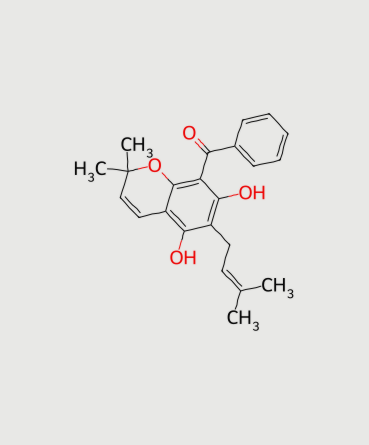 CC(C)=CCc1c(O)c2c(c(C(=O)c3ccccc3)c1O)OC(C)(C)C=C2